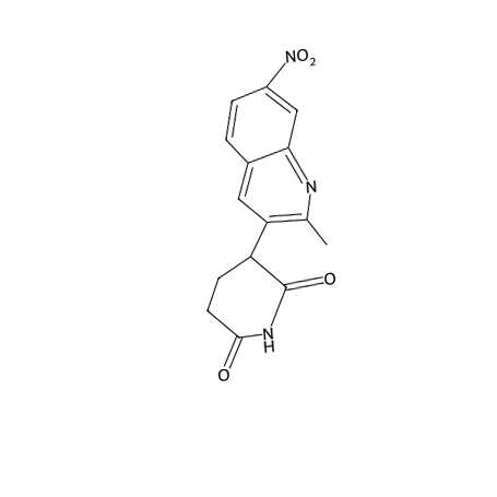 Cc1nc2cc([N+](=O)[O-])ccc2cc1C1CCC(=O)NC1=O